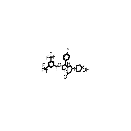 C[C@@H](O[C@H]1CN2C(=O)CC(N3CCC(C)(O)CC3)C[C@H]2C1c1ccc(F)cc1)c1cc(C(F)(F)F)cc(C(F)(F)F)c1